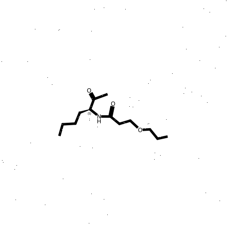 CCCC[C@H](NC(=O)CCOCCC)C(C)=O